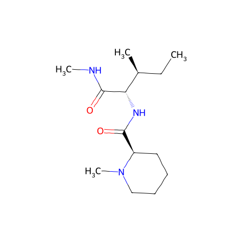 CC[C@H](C)[C@H](NC(=O)[C@H]1CCCCN1C)C(=O)NC